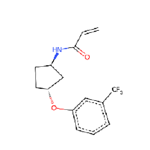 C=CC(=O)N[C@@H]1CC[C@@H](Oc2cccc(C(F)(F)F)c2)C1